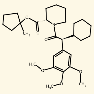 COc1cc([C@@H](C(=O)N2CCCC[C@H]2C(=O)OC2(C)CCCC2)C2CCCCC2)cc(OC)c1OC